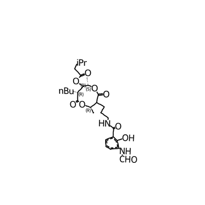 CCCC[C@H]1C(=O)O[C@H](C)C(CCCNC(=O)c2cccc(NC=O)c2O)C(=O)O[C@@H](C)[C@@H]1OC(=O)CC(C)C